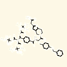 CC(C)(C)OC(=O)N=C(c1ccc(C(=O)N[C@@H](Cc2ccc(OCc3ccccc3)cc2)C(=O)N2CCc3sc(CC(=O)O)cc3C2)cc1)N(C(=O)OC(C)(C)C)C(=O)OC(C)(C)C